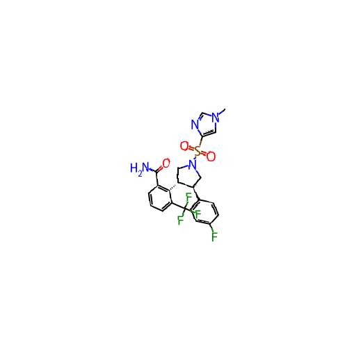 Cn1cnc(S(=O)(=O)N2C[C@@H](c3ccc(F)cc3)[C@H](c3c(C(N)=O)cccc3C(F)(F)F)C2)c1